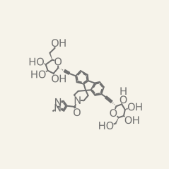 Cn1cc(C(=O)N2CCC3(CC2)c2cc(C#C[C@H]4O[C@H](CO)[C@@H](O)[C@H](O)[C@@H]4O)ccc2-c2ccc(C#C[C@H]4O[C@H](CCO)[C@@H](O)[C@H](O)[C@@H]4O)cc23)cn1